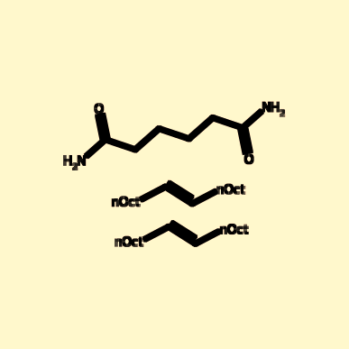 CCCCCCCCC=CCCCCCCCC.CCCCCCCCC=CCCCCCCCC.NC(=O)CCCCC(N)=O